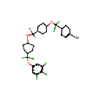 CCCC1=CCC(C(F)(F)OC2CCC(C(F)(F)OC3CCC(C(F)(F)Oc4cc(F)c(F)c(F)c4)CC3)CC2)CC1